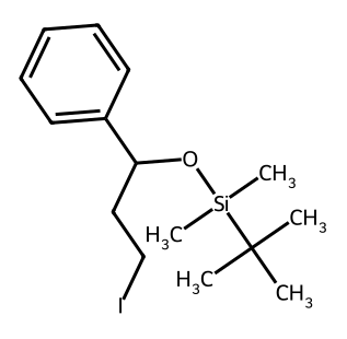 CC(C)(C)[Si](C)(C)OC(CCI)c1ccccc1